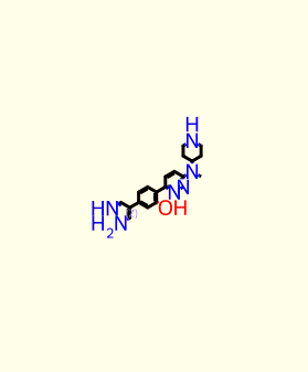 CN(c1ccc(-c2ccc(/C(C=N)=C/N)cc2O)nn1)C1CCNCC1